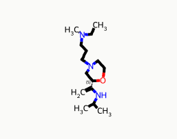 C=C(NC(C)C)[C@@H]1CN(CCCN(C)CC)CCO1